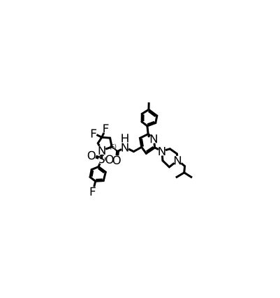 Cc1ccc(-c2cc(CNC(=O)[C@@H]3CC(F)(F)CN3S(=O)(=O)c3ccc(F)cc3)cc(N3CCN(CC(C)C)CC3)n2)cc1